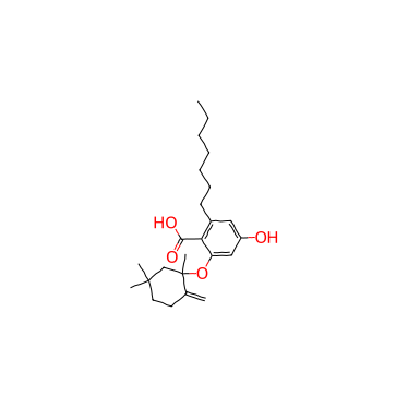 C=C1CCC(C)(C)CC1(C)Oc1cc(O)cc(CCCCCCC)c1C(=O)O